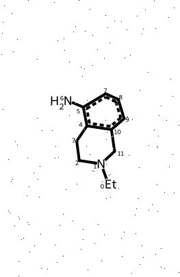 CCN1CCc2c(N)cccc2C1